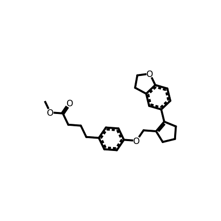 COC(=O)CCCc1ccc(OCC2=C(c3ccc4c(c3)CCO4)CCC2)cc1